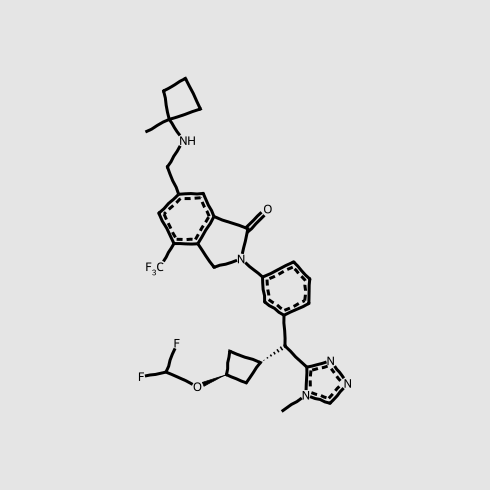 Cn1cnnc1C(c1cccc(N2Cc3c(cc(CNC4(C)CCC4)cc3C(F)(F)F)C2=O)c1)[C@H]1C[C@H](OC(F)F)C1